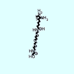 NC1CSC(CCCCC(O)NCCOCCOCCOCCNC(=O)CO)C1N